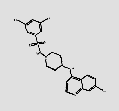 O=[N+]([O-])c1cc(Cl)cc(S(=O)(=O)NC2CCC(Nc3ccnc4cc(Cl)ccc34)CC2)c1